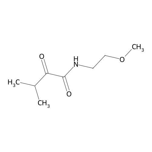 COCCNC(=O)C(=O)C(C)C